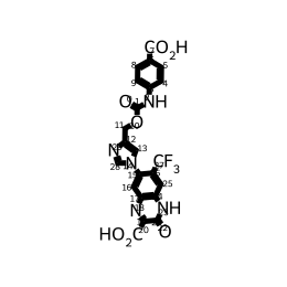 O=C(Nc1ccc(C(=O)O)cc1)OCc1cn(-c2cc3nc(C(=O)O)c(=O)[nH]c3cc2C(F)(F)F)cn1